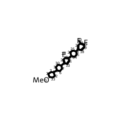 COC1CCC(C2CCC(c3ccc(C4CCC(c5ccc(F)c(F)c5)CC4)c(F)c3)CC2)CC1